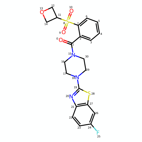 O=C(c1ccccc1S(=O)(=O)C1COC1)N1CCN(c2nc3ccc(F)cc3s2)CC1